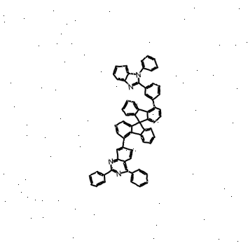 c1ccc(-c2nc(-c3ccccc3)c3ccc(-c4cccc5c4-c4ccccc4C54c5ccccc5-c5c(-c6cccc(-c7nc8ccccc8n7-c7ccccc7)c6)cccc54)cc3n2)cc1